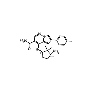 Cc1ccc(-c2cc3c(N[C@@H]4CC[C@](C)(N)C4(C)C)c(C(N)=O)cnn3c2)cc1